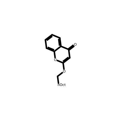 CCCCCCCCCOc1cc(=O)c2ccccc2o1